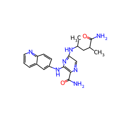 CC(CC(C)C(N)=O)Nc1cnc(C(N)=O)c(Nc2ccc3ncccc3c2)n1